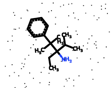 CCC(N)(C(C)C)C(C)(C)c1ccccc1